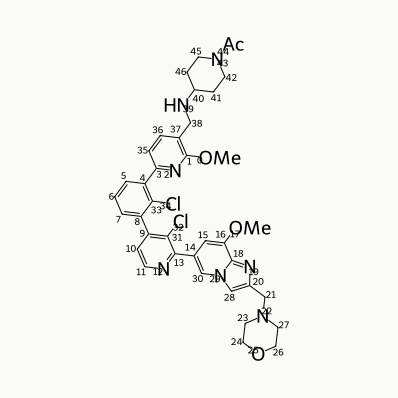 COc1nc(-c2cccc(-c3ccnc(-c4cc(OC)c5nc(CN6CCOCC6)cn5c4)c3Cl)c2Cl)ccc1CNC1CCN(C(C)=O)CC1